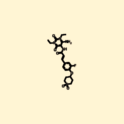 CCn1c(N)c(NC(=O)/C=C/c2ccc(OC3CCS(=O)(=O)CC3)c(F)c2)c(=O)n(CC)c1=O